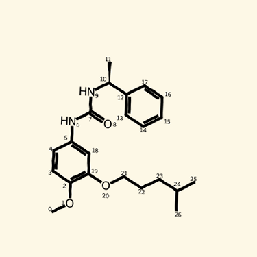 COc1ccc(NC(=O)N[C@@H](C)c2ccccc2)cc1OCCCC(C)C